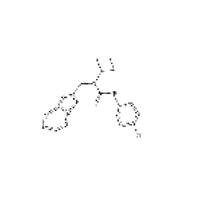 O=C(Nc1ccc(Cl)cc1)N(Cc1cc2ccccn2n1)C1CCC1